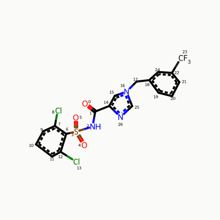 O=C(NS(=O)(=O)c1c(Cl)cccc1Cl)c1cn(Cc2cccc(C(F)(F)F)c2)cn1